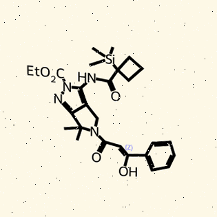 CCOC(=O)n1nc2c(c1NC(=O)C1([Si](C)(C)C)CCC1)CN(C(=O)/C=C(\O)c1ccccc1)C2(C)C